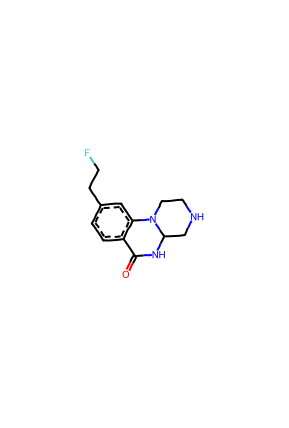 O=C1NC2CNCCN2c2cc(CCF)ccc21